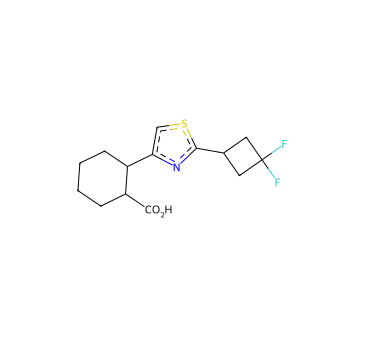 O=C(O)C1CCCCC1c1csc(C2CC(F)(F)C2)n1